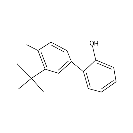 Cc1ccc(-c2ccccc2O)cc1C(C)(C)C